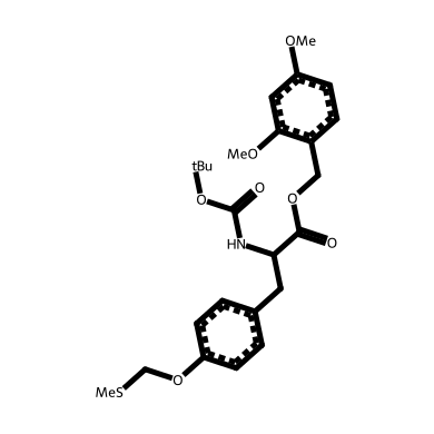 COc1ccc(COC(=O)C(Cc2ccc(OCSC)cc2)NC(=O)OC(C)(C)C)c(OC)c1